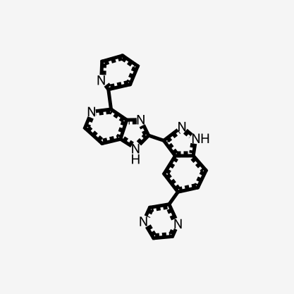 c1ccc(-c2nccc3[nH]c(-c4n[nH]c5ccc(-c6cnccn6)cc45)nc23)nc1